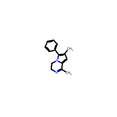 CC1=NCCn2c1cc(C)c2-c1ccccc1